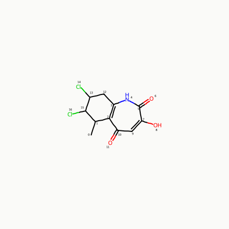 CC1c2c([nH]c(=O)c(O)cc2=O)CC(Cl)C1Cl